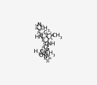 Cc1cc(C)cc(-c2[nH]c3sc(C(C)(C)C(=O)N4CCCC4)cc3c2CCNCCc2ccncc2)c1